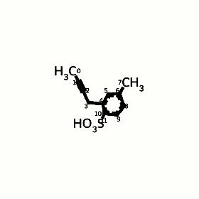 CC#CCc1cc(C)ccc1S(=O)(=O)O